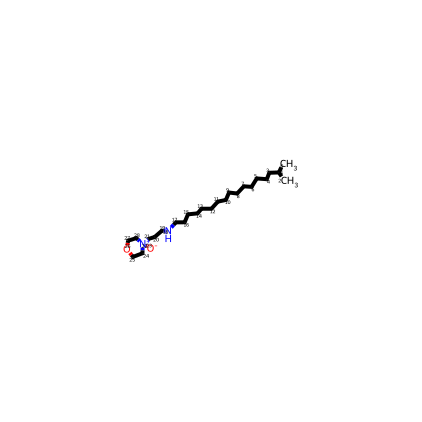 CC(C)CCCCCCCCCCCCCCCNCCC[N+]1([O-])CCOCC1